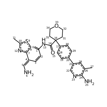 C=C(/C=C\C(=C/N)c1csc(C)n1)NC(=O)C1(c2ccc(-c3cnc(N)c(C)c3)cc2)CCOCC1